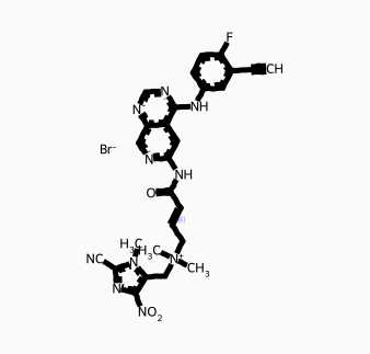 C#Cc1cc(Nc2ncnc3cnc(NC(=O)/C=C/C[N+](C)(C)Cc4c([N+](=O)[O-])nc(C#N)n4C)cc23)ccc1F.[Br-]